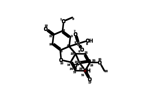 COC1=CC2(S(=O)(=O)O)C(=CC1=O)OC1=CC(=O)C(OC)=CC12S(=O)(=O)O